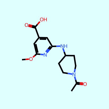 COc1cc(C(=O)O)cc(NC2CCN(C(C)=O)CC2)n1